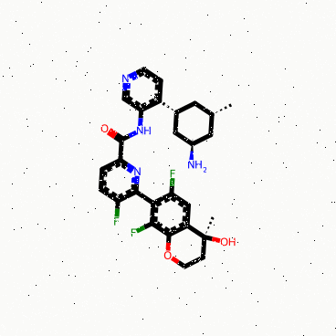 C[C@@H]1C[C@@H](N)C[C@H](c2ccncc2NC(=O)c2ccc(F)c(-c3c(F)cc4c(c3F)OCC[C@]4(C)O)n2)C1